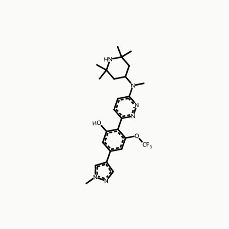 CN(c1ccc(-c2c(O)cc(-c3cnn(C)c3)cc2OC(F)(F)F)nn1)C1CC(C)(C)NC(C)(C)C1